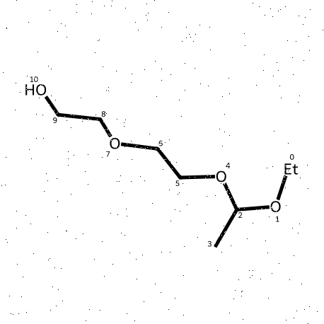 CCOC(C)OCCOCCO